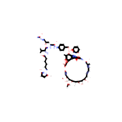 CO[C@H]1/C=C/O[C@@]2(C)Oc3c(C)c(O)c4c(=O)c(c5oc6cccc(OCc7ccc(NC(=O)[C@H](CCCNC(N)=O)NC(=O)[C@@H](NC(=O)CCCCCN8C(=O)C=CC8=O)C(C)C)cc7)c6nc-5c4c3C2=O)NC(=O)/C(C)=C\C=C\[C@H](C)[C@H](O)[C@@H](C)[C@@H](O)[C@@H](C)[C@H](OC(C)=O)[C@@H]1C